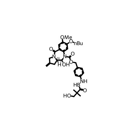 C=C1C[C@H]2[C@H](O)N(C(=O)OCc3ccc(NBC(=O)C(C)(C)CO)cc3)c3cc(OCCCC)c(OC)cc3C(=O)N2C1